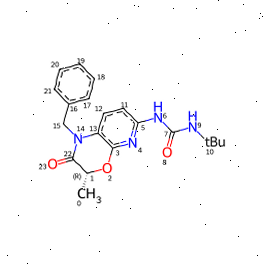 C[C@H]1Oc2nc(NC(=O)NC(C)(C)C)ccc2N(Cc2ccccc2)C1=O